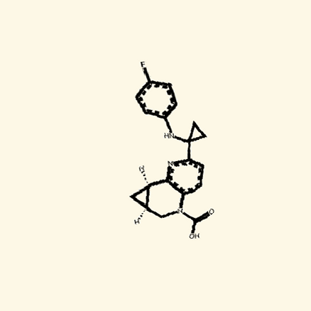 O=C(O)N1C[C@H]2C[C@H]2c2nc(C3(Nc4ccc(F)cc4)CC3)ccc21